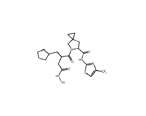 O=C(CC(CC1CCCC1)C(=O)N1CC2(CC2)CC1C(=O)Nc1nc(C(F)(F)F)cs1)NO